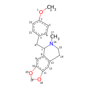 COc1ccc(CC2c3cc4c(cc3CCN2C)OCO4)cc1